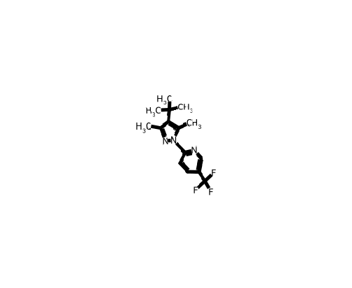 Cc1nn(-c2ccc(C(F)(F)F)cn2)c(C)c1C(C)(C)C